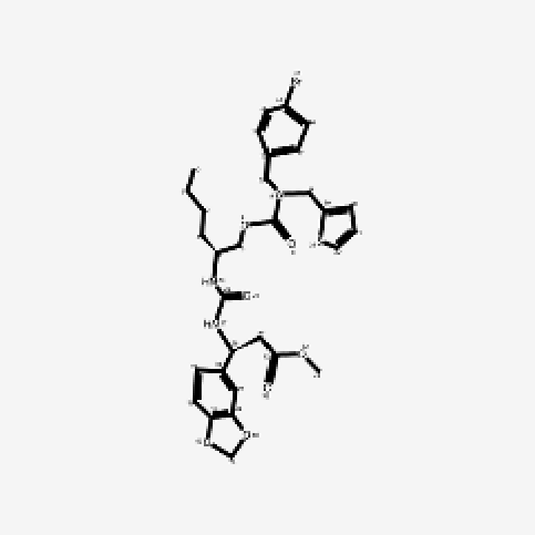 CCCC[C@@H](COC(=O)N(Cc1ccc(Br)cc1)Cc1cccs1)NC(=O)N[C@@H](CC(=O)OC)c1ccc2c(c1)OCO2